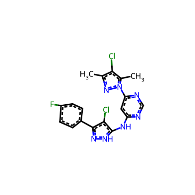 Cc1nn(-c2cc(Nc3[nH]nc(-c4ccc(F)cc4)c3Cl)ncn2)c(C)c1Cl